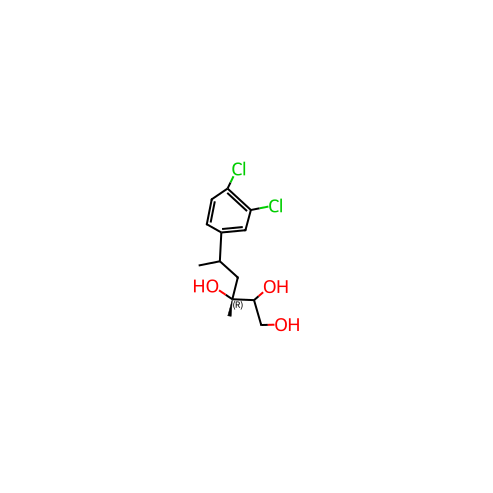 CC(C[C@@](C)(O)C(O)CO)c1ccc(Cl)c(Cl)c1